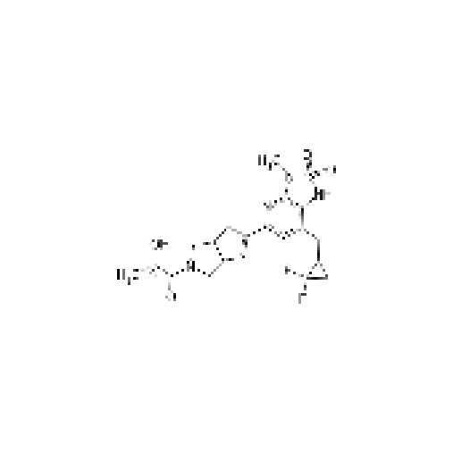 C[C@H](O)C(=O)N1CC2C=C(c3cc(CC4CC4(F)F)c4c(n3)N(C)S(=O)(=O)N4)CC2C1